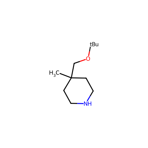 CC1(COC(C)(C)C)CCNCC1